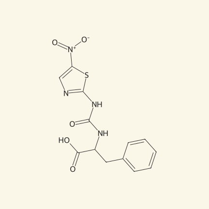 O=C(Nc1ncc([N+](=O)[O-])s1)NC(Cc1ccccc1)C(=O)O